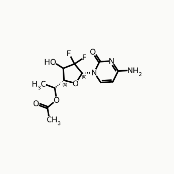 CC(=O)OC(C)[C@H]1O[C@@H](n2ccc(N)nc2=O)C(F)(F)C1O